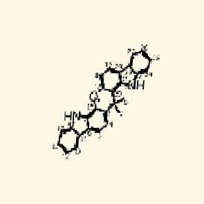 CC1(C)c2ccc3c([nH]c4ccccc43)c2Oc2ccc3c([nH]c4ccccc43)c21